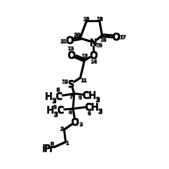 CC(C)CCOC(C)(C)C(C)(C)SCC(=O)ON1C(=O)CCC1=O